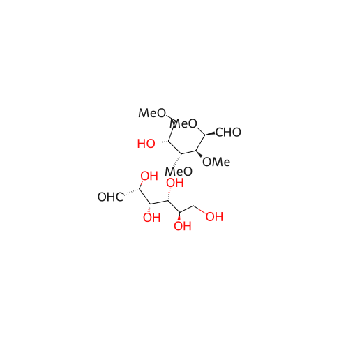 COC[C@@H](O)[C@@H](OC)[C@H](OC)[C@H](C=O)OC.O=C[C@H](O)[C@@H](O)[C@H](O)[C@H](O)CO